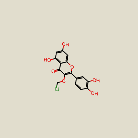 O=c1c(OCCl)c(-c2ccc(O)c(O)c2)oc2cc(O)cc(O)c12